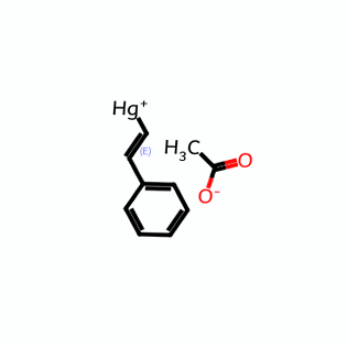 CC(=O)[O-].[Hg+]/[CH]=C/c1ccccc1